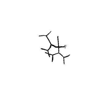 CC(C)C(C(C)C)C(C)(F)C(C(C)C)C(C)C